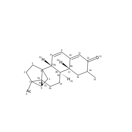 CC(=O)C12CCC3(CC1)[C@@H]1C=CC4=CC(=O)C(C)C[C@@H]4[C@H]1CC[C@]23C